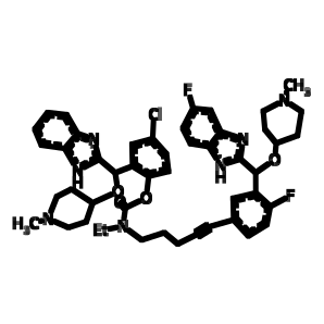 CCN(CCCC#Cc1ccc(F)c(C(OC2CCN(C)CC2)c2nc3cc(F)ccc3[nH]2)c1)C(=O)Oc1ccc(Cl)cc1C(OC1CCN(C)CC1)c1nc2ccccc2[nH]1